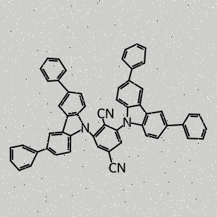 N#Cc1cc(-n2c3ccc(-c4ccccc4)cc3c3cc(-c4ccccc4)ccc32)c(C#N)c(-n2c3ccc(-c4ccccc4)cc3c3cc(-c4ccccc4)ccc32)c1